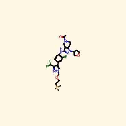 CC(=O)N1CCc2c(c(Nc3ccc(-c4cn(COCCS(C)(C)C)nc4C(F)F)cc3F)nn2C2CCOC2)C1